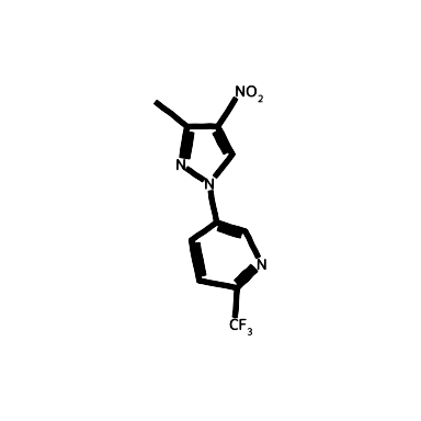 Cc1nn(-c2ccc(C(F)(F)F)nc2)cc1[N+](=O)[O-]